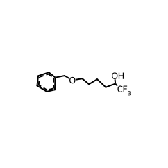 OC(CCCCOCc1ccccc1)C(F)(F)F